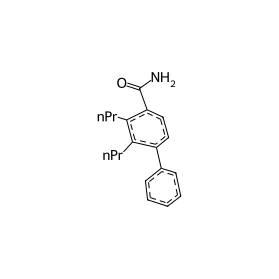 CCCc1c(C(N)=O)ccc(-c2ccccc2)c1CCC